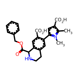 Cc1c(C(=O)O)cc(-c2cc3c(cc2C(=O)O)C(C(=O)OCc2ccccc2)NCC3)n1C